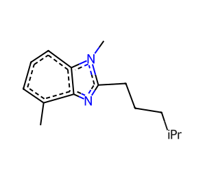 Cc1cccc2c1nc(CCCC(C)C)n2C